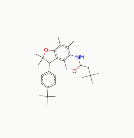 Cc1c(C)c2c(c(C)c1NC(=O)CC(C)(C)C)C(c1ccc(C(C)(C)C)cc1)C(C)(C)O2